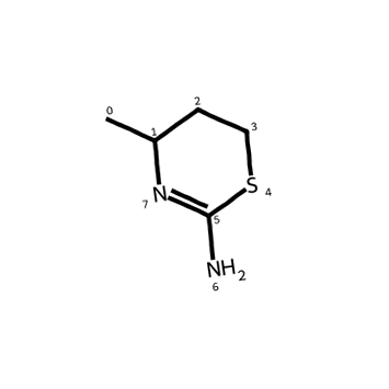 CC1CCSC(N)=N1